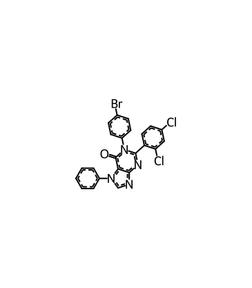 O=c1c2c(ncn2-c2ccccc2)nc(-c2ccc(Cl)cc2Cl)n1-c1ccc(Br)cc1